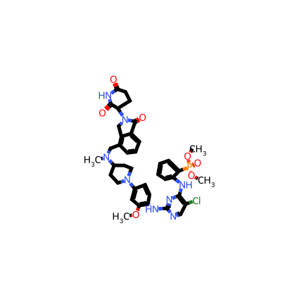 COc1cc(N2CCC(N(C)Cc3cccc4c3CN(C3CCC(=O)NC3=O)C4=O)CC2)ccc1Nc1ncc(Cl)c(Nc2ccccc2P(=O)(OC)OC)n1